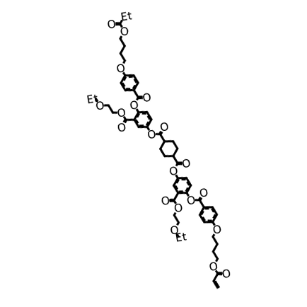 C=CC(=O)OCCCCOc1ccc(C(=O)Oc2ccc(OC(=O)C3CCC(C(=O)Oc4ccc(OC(=O)c5ccc(OCCCCOC(=O)CC)cc5)c(C(=O)OCCOCC)c4)CC3)cc2C(=O)OCCOCC)cc1